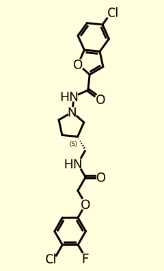 O=C(COc1ccc(Cl)c(F)c1)NC[C@@H]1CCN(NC(=O)c2cc3cc(Cl)ccc3o2)C1